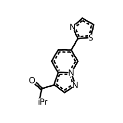 CC(C)C(=O)c1cnn2cc(-c3nccs3)ccc12